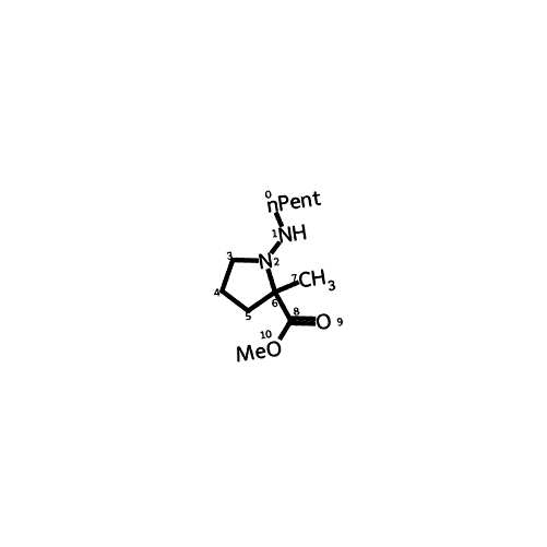 CCCCCNN1CCCC1(C)C(=O)OC